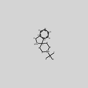 CC(C)(C)N1CCC2(CC1)OCc1ccccc12